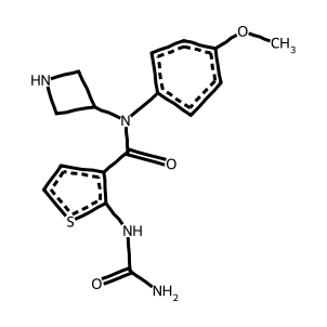 COc1ccc(N(C(=O)c2ccsc2NC(N)=O)C2CNC2)cc1